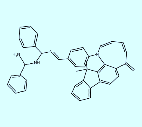 C=C1/C=C\C=C/N(c2ccc(/C=N/C(NC(N)c3ccccc3)c3ccccc3)cc2)c2c1ccc1c2C(C)(C)c2ccccc2-1